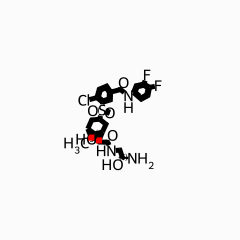 C[C@H]1CC2CC(S(=O)(=O)c3cc(C(=O)Nc4ccc(F)c(F)c4)ccc3Cl)CC1[C@@]2(O)CC(=O)NC[C@@H](N)O